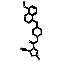 COc1cccc2c(OC3CCN(CC(=O)N4C[C@@H](F)CC4C#N)CC3)ccnc12